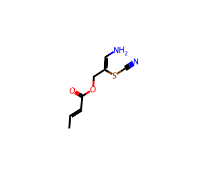 C/C=C/C(=O)OCC(=CN)SC#N